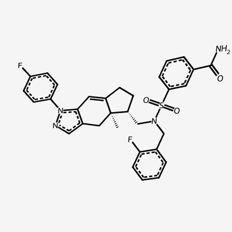 C[C@]12Cc3cnn(-c4ccc(F)cc4)c3C=C1CC[C@@H]2CN(Cc1ccccc1F)S(=O)(=O)c1cccc(C(N)=O)c1